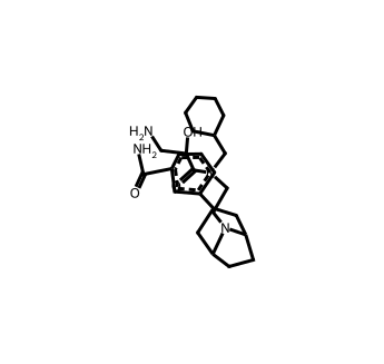 NCC(O)C(=O)N(CCN1C2CCC1CC(c1cccc(C(N)=O)c1)C2)CC1CCCCC1